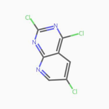 Clc1cnc2nc(Cl)nc(Cl)c2c1